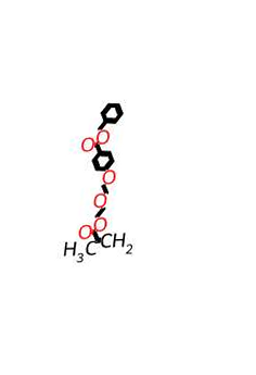 C=C(C)C(=O)OCCOCCOc1ccc(C(=O)OCc2ccccc2)cc1